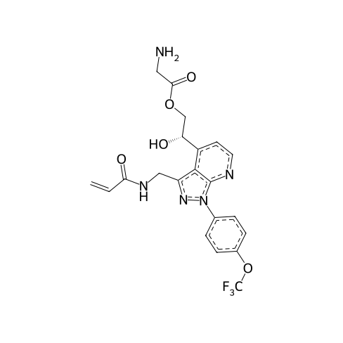 C=CC(=O)NCc1nn(-c2ccc(OC(F)(F)F)cc2)c2nccc([C@H](O)COC(=O)CN)c12